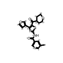 Cc1cncc(C(=O)Nc2nc(-c3ccoc3)c(C(=O)C3CCOCC3)s2)c1